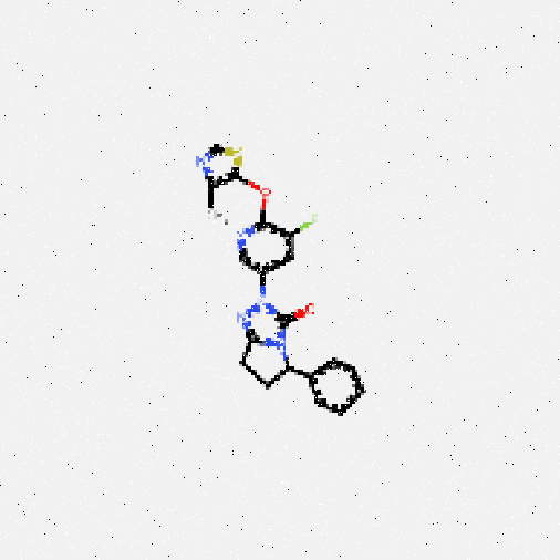 Cc1ncsc1Oc1ncc(-n2nc3n(c2=O)C(c2ccccc2)CC3)cc1F